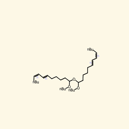 CCCC/C=C\C=C\CCCCC(OCCCC)OC(CCCC/C=C/C=C\CCCC)OCCCC